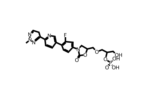 CN1N=CCC(c2ccc(-c3ccc(N4CC(COCC(CO)OP(=O)(O)O)OC4=O)cc3F)cn2)=N1